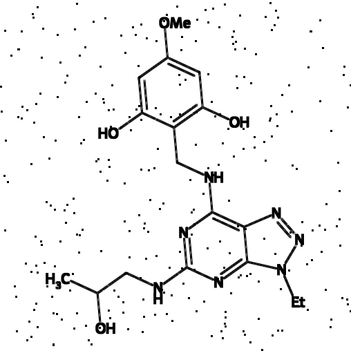 CCn1nnc2c(NCc3c(O)cc(OC)cc3O)nc(NCC(C)O)nc21